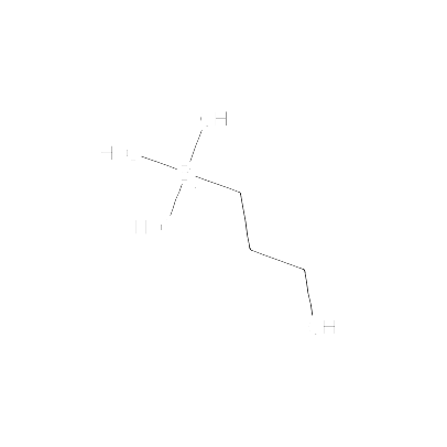 CCCC[B-](C)(C)C